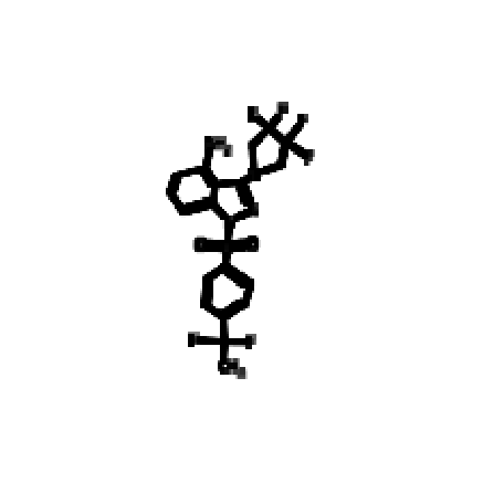 CC(F)(F)c1ccc(S(=O)(=O)n2nc(N3CC(F)(F)C(F)(F)C3)c3c(N)cccc32)cc1